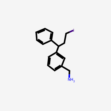 NCc1cc[c]c(C(CCI)c2ccccc2)c1